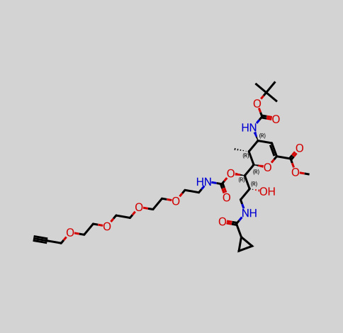 C#CCOCCOCCOCCOCCNC(=O)O[C@@H]([C@@H]1OC(C(=O)OC)=C[C@H](NC(=O)OC(C)(C)C)[C@H]1C)[C@H](O)CNC(=O)C1CC1